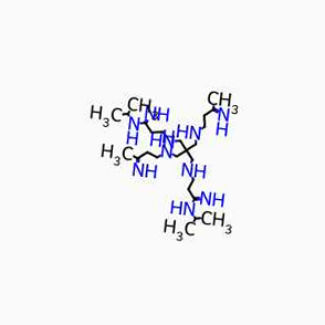 CC(=N)CCNCC(CNCCC(C)=N)(CNCCC(=N)NC(C)C)CNCCC(=N)NC(C)C